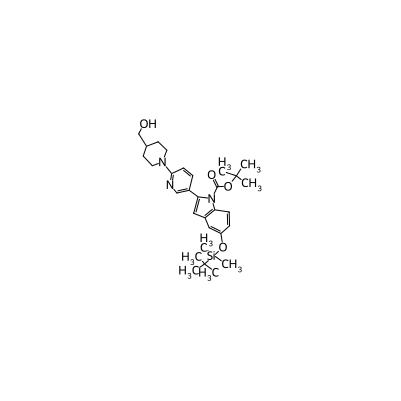 CC(C)(C)OC(=O)n1c(-c2ccc(N3CCC(CO)CC3)nc2)cc2cc(O[Si](C)(C)C(C)(C)C)ccc21